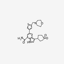 NC(=O)c1cc(-c2csc(CN3CCOCC3)c2)cc2c(C3CCS(=O)(=O)CC3)c[nH]c12